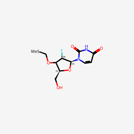 CSCOC1[C@H](CO)O[C@H](n2ccc(=O)[nH]c2=O)[C@@H]1F